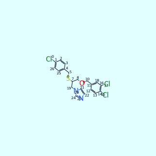 Clc1ccc(CSC(COCc2ccc(Cl)c(Cl)c2)Cn2ccnc2)cc1